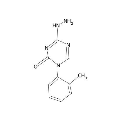 Cc1ccccc1-n1cnc(NN)nc1=O